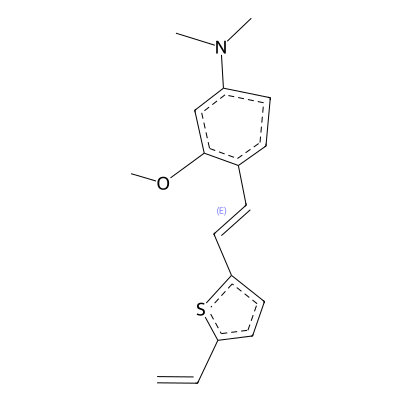 C=Cc1ccc(/C=C/c2ccc(N(C)C)cc2OC)s1